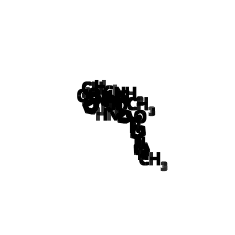 CC(C)Oc1cc(C(=O)N2CCC(N3CCN(C)CC3)CC2)ccc1Nc1nc(N)c(Cl)c(Nc2ccccc2S(C)(=O)=O)n1